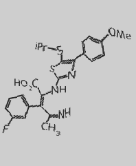 COc1ccc(-c2nc(N/C(C(=O)O)=C(\C(C)=N)c3cccc(F)c3)sc2SC(C)C)cc1